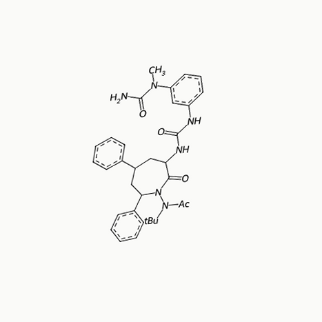 CC(=O)N(N1C(=O)C(NC(=O)Nc2cccc(N(C)C(N)=O)c2)CC(c2ccccc2)CC1c1ccccc1)C(C)(C)C